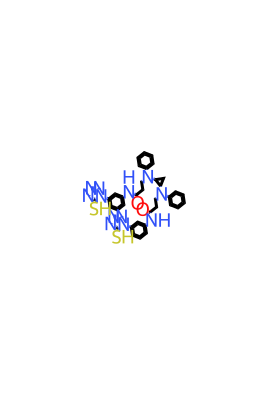 O=C(CCN(c1ccccc1)C1CC1N(CCC(=O)Nc1cccc(-n2nnnc2S)c1)c1ccccc1)Nc1cccc(-n2nnnc2S)c1